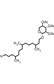 CC(=O)O[C@@H]1[C@@H](OC(C)=O)[C@H](OCCC(C)CCCC(C)CCCC(C)CCCC(C)C)OC[C@H]1OC(C)=O